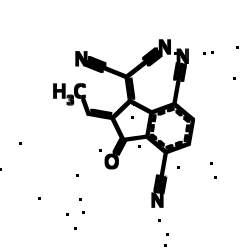 C/C=C1/C(=O)c2c(C#N)ccc(C#N)c2C1=C(C#N)C#N